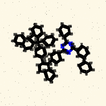 c1ccc(-c2cccc(-c3nc(-c4ccccc4)nc(-c4ccc(-c5c(-c6ccc(C7(c8ccccc8)c8ccccc8-c8c7ccc7ccccc87)cc6)ccc6ccccc56)cc4)n3)c2)cc1